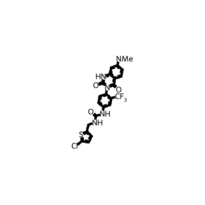 CNc1ccc2c(=O)n(-c3ccc(NC(=O)NCc4ccc(Cl)s4)cc3C(F)(F)F)c(=O)[nH]c2c1